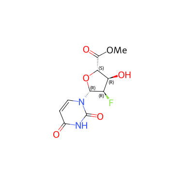 COC(=O)[C@H]1O[C@@H](n2ccc(=O)[nH]c2=O)[C@H](F)[C@@H]1O